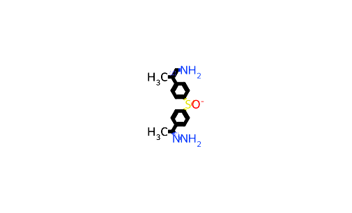 C/C(=C/N)c1ccc([S+]([O-])c2ccc(/C(C)=N\N)cc2)cc1